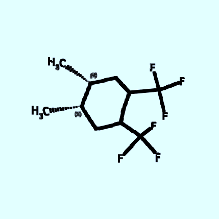 C[C@@H]1CC(C(F)(F)F)C(C(F)(F)F)C[C@@H]1C